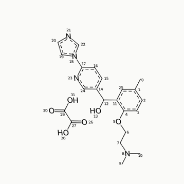 Cc1ccc(OCCN(C)C)c(C(O)c2ccc(-n3ccnc3)nc2)c1.O=C(O)C(=O)O